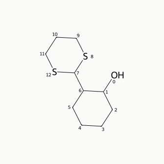 OC1CCCCC1C1SCCCS1